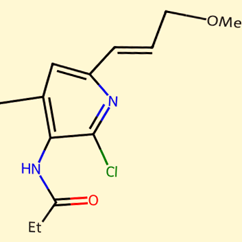 CCC(=O)Nc1c(C)cc(/C=C/COC)nc1Cl